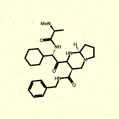 CN[C@@H](C)C(=O)N[C@H](C(=O)C1N[C@H]2CCCN2C[C@H]1C(=O)NCc1ccccc1)C1CCCCC1